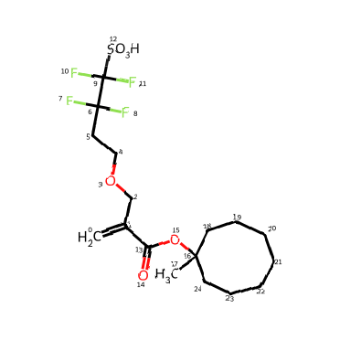 C=C(COCCC(F)(F)C(F)(F)S(=O)(=O)O)C(=O)OC1(C)CCCCCCC1